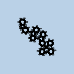 c1ccc(C2(c3ccc4c(c3)c3ccccc3n4-c3cccc4c3c3ccccc3n4-c3ccc4sc5ccccc5c4c3)c3ccccc3-c3ccccc32)cc1